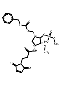 CO[C@H]1C(OP(=O)(O)OC)[C@@H](COC(=O)OCc2ccccc2)C[C@H]1NC(=S)CCN1C(=O)C=CC1=O